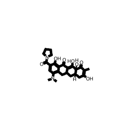 CC1=C(O)C[C@@H]2CC3Cc4c(N(C)C)cc(C(=O)N5CCCC5)c(O)c4C(=O)C3=C(O)[C@]2(O)C1=O